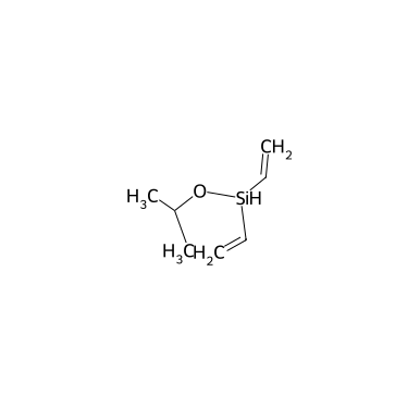 C=C[SiH](C=C)OC(C)C